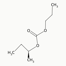 CCCOC(=O)O[C@@H](C)CC